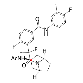 CC(=O)N[C@H]1C[C@H]2CC[C@@H](C1)N2C(=O)C(F)(F)c1cc(C(=O)Nc2ccc(F)c(C)c2)ccc1F